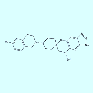 N#Cc1ccc2c(c1)CCC(N1CCC3(CC1)CC(O)c1cc4[nH]cnc4cc1O3)C2